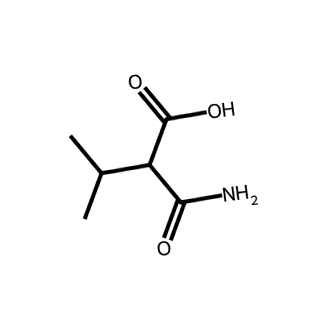 CC(C)C(C(N)=O)C(=O)O